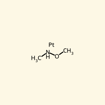 CNOC.[Pt]